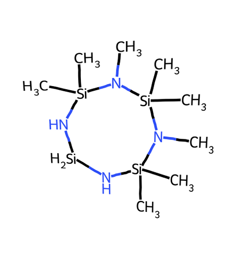 CN1[Si](C)(C)N[SiH2]N[Si](C)(C)N(C)[Si]1(C)C